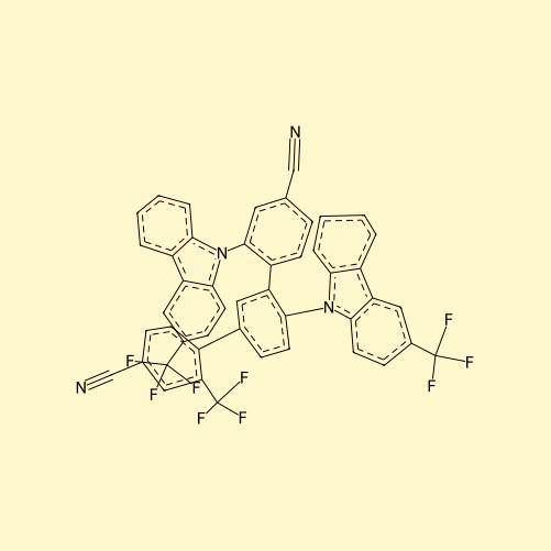 N#Cc1ccc(-c2cc(-c3ccc(C#N)cc3C(F)(F)F)ccc2-n2c3ccccc3c3cc(C(F)(F)F)ccc32)c(-n2c3ccccc3c3cc(C(F)(F)F)ccc32)c1